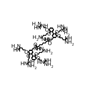 N=C(N)CCCOc1cc(CNC(=O)CCCCCCC(=O)NCc2cc(OCCCC(=N)N)c(OCCNC(=N)N)c(-c3cccc(OCCNC(=N)N)c3OCCCC(=N)N)c2)cc(-c2cccc(OCCNC(=N)N)c2OCCCC(=N)N)c1OCCNC(=N)N